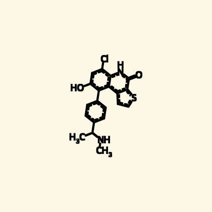 CNC(C)c1ccc(-c2c(O)cc(Cl)c3[nH]c(=O)c4sccc4c23)cc1